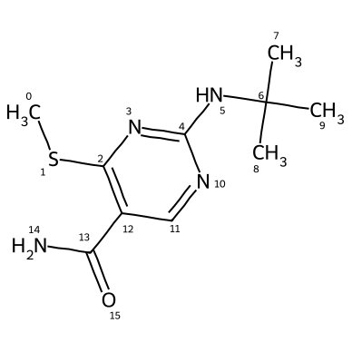 CSc1nc(NC(C)(C)C)ncc1C(N)=O